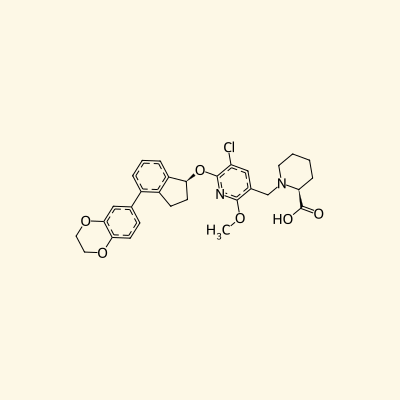 COc1nc(O[C@H]2CCc3c(-c4ccc5c(c4)OCCO5)cccc32)c(Cl)cc1CN1CCCC[C@H]1C(=O)O